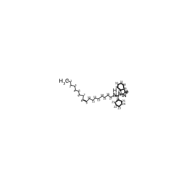 CCCCCCCC/C=C\CCCCCCCCNC(c1ccccc1)n1nnc2ccccc21